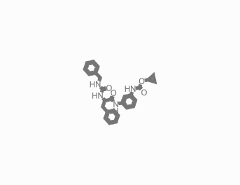 O=C(NCc1ccccc1)NC(Cc1ccccc1)C(=O)Nc1cccc(NC(=O)OC2CC2)c1